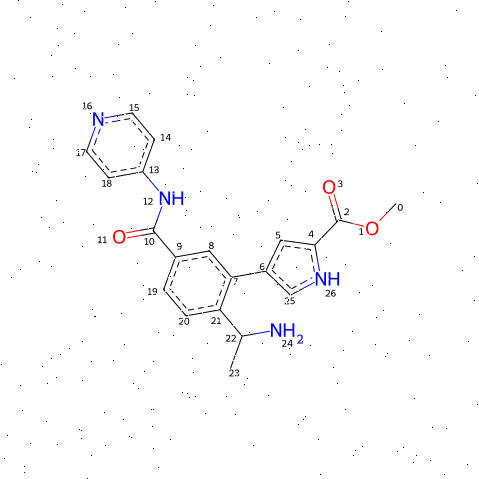 COC(=O)c1cc(-c2cc(C(=O)Nc3ccncc3)ccc2C(C)N)c[nH]1